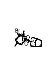 Cc1cc(Br)nc(N2CC3CCC(C2)N3C(=O)OC(C)(C)C)c1